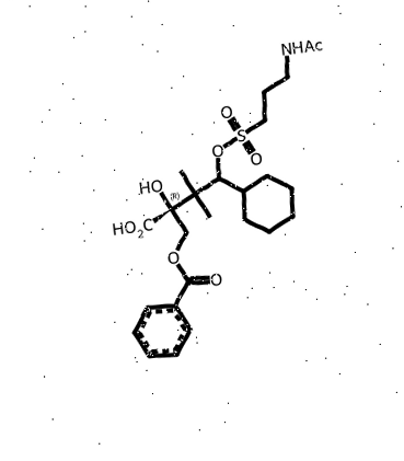 CC(=O)NCCCS(=O)(=O)OC(C1CCCCC1)C(C)(C)[C@@](O)(COC(=O)c1ccccc1)C(=O)O